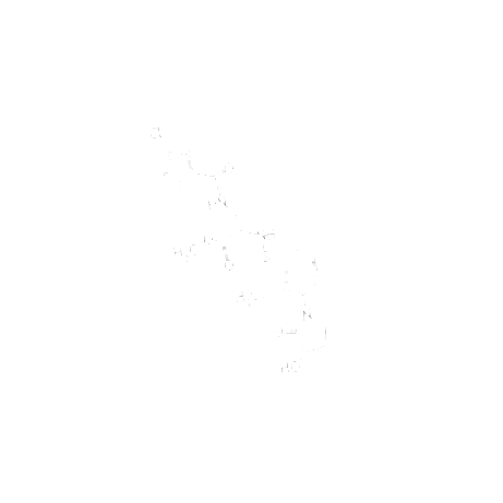 CCc1c(SN[C@@H](CNC(=O)c2ccc(Cl)s2)C(=O)OC)cccc1N1CC[C@H](O)C1=O